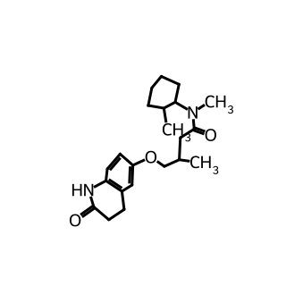 CC(COc1ccc2c(c1)CCC(=O)N2)CC(=O)N(C)C1CCCCC1C